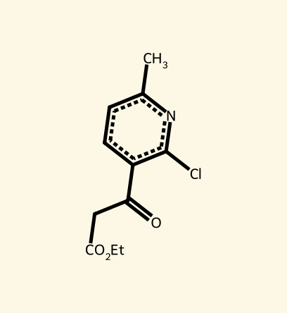 CCOC(=O)CC(=O)c1ccc(C)nc1Cl